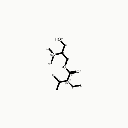 CC[C@H](C(=O)OCC(CO)N(C)I)C(C)C